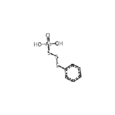 O=[As](O)(O)SSSc1ccccc1